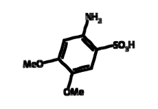 COc1cc(N)c(S(=O)(=O)O)cc1OC